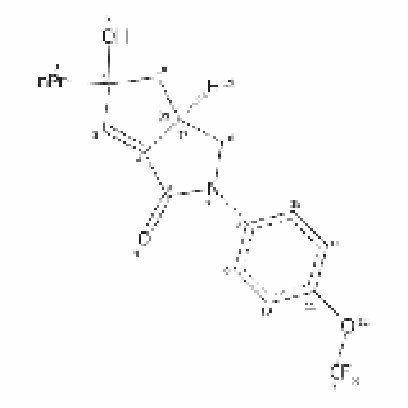 CCCC1(O)C=C2C(=O)N(c3ccc(OC(F)(F)F)cc3)C[C@@H]2C1